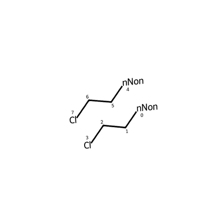 CCCCCCCCCCCCl.CCCCCCCCCCCCl